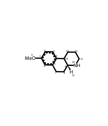 COc1ccc2c(c1)CC[C@H]1NCCCC21